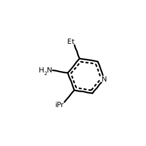 CCc1cncc(C(C)C)c1N